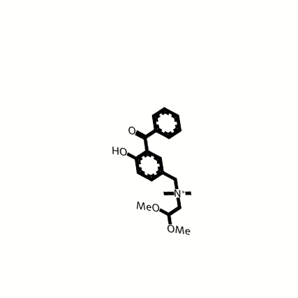 COC(C[N+](C)(C)Cc1ccc(O)c(C(=O)c2ccccc2)c1)OC